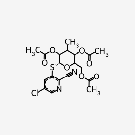 CC(=O)OCC1O[C@H](Sc2cc(Cl)cnc2C#N)C(OC(C)=O)C(C)[C@H]1OC(C)=O